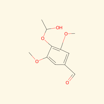 COc1cc(C=O)cc(OC)c1OC(C)O